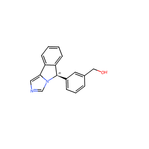 OCc1cccc([C@@H]2c3ccccc3-c3cncn32)c1